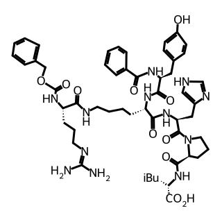 CC[C@@H](C)[C@H](NC(=O)[C@@H]1CCCN1C(=O)[C@H](Cc1c[nH]cn1)NC(=O)[C@H](CCCCNC(=O)[C@H](CCCN=C(N)N)NC(=O)OCc1ccccc1)NC(=O)[C@H](Cc1ccc(O)cc1)NC(=O)c1ccccc1)C(=O)O